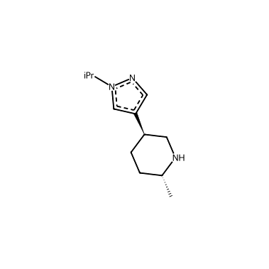 CC(C)n1cc([C@@H]2CC[C@@H](C)NC2)cn1